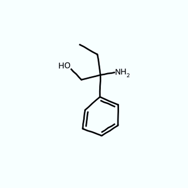 CCC(N)(CO)c1ccccc1